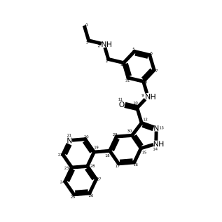 CCNCc1cccc(NC(=O)c2n[nH]c3ccc(-c4cncc5ccccc45)cc23)c1